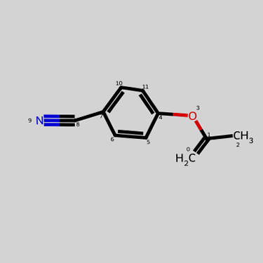 C=C(C)Oc1ccc(C#N)cc1